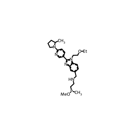 CCOCCn1c(-c2ccc(N3CCCC3C)nc2)nc2cc(CNCCP(C)OC)ccc21